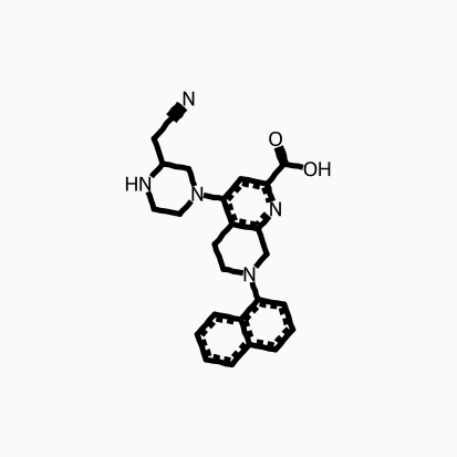 N#CCC1CN(c2cc(C(=O)O)nc3c2CCN(c2cccc4ccccc24)C3)CCN1